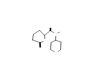 CN(C(=O)C1CCCC(=O)N1)C1CCNCC1